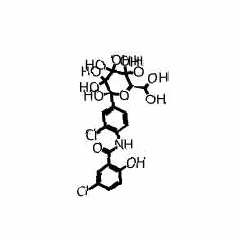 O=C(Nc1ccc([C@@]2(O)O[C@H](C(O)O)C(O)(O)C(O)(O)C2(O)O)cc1Cl)c1cc(Cl)ccc1O